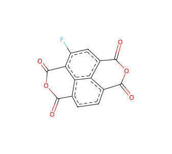 O=C1OC(=O)c2cc(F)c3c4c(ccc1c24)C(=O)OC3=O